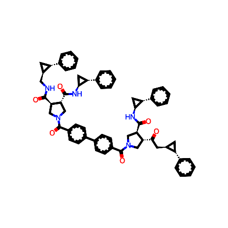 O=C(C[C@H]1C[C@@H]1c1ccccc1)[C@@H]1CN(C(=O)c2ccc(-c3ccc(C(=O)N4C[C@@H](C(=O)NC[C@H]5C[C@@H]5c5ccccc5)[C@H](C(=O)N[C@H]5C[C@@H]5c5ccccc5)C4)cc3)cc2)C[C@H]1C(=O)N[C@H]1C[C@@H]1c1ccccc1